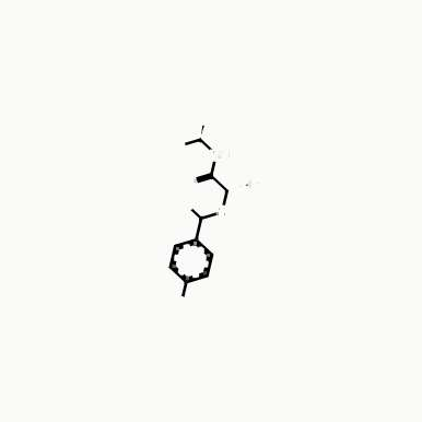 CC(C)[C@H](NC(O)c1ccc(Br)cc1)C(=O)N[C@@H](C)C(=O)O